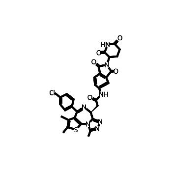 Cc1sc2c(c1C)C(c1ccc(Cl)cc1)=N[C@@H](CC(=O)Nc1ccc3c(c1)C(=O)N(C1CCC(=O)NC1=O)C3=O)c1nnc(C)n1-2